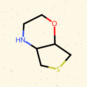 C1COC2CSCC2N1